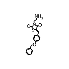 NCCN1C(=O)S/C(=C\c2ccc(OCc3ccccc3)cc2)C1=O